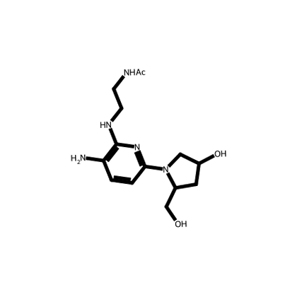 CC(=O)NCCNc1nc(N2CC(O)CC2CO)ccc1N